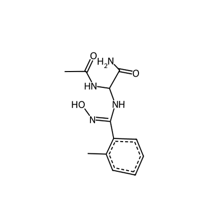 CC(=O)NC(NC(=NO)c1ccccc1C)C(N)=O